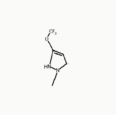 CN1[CH]C=C(OC(F)(F)F)N1